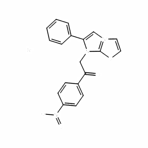 O=C(Cn1c(-c2ccccc2)c[n+]2ccsc12)c1ccc([N+](=O)[O-])cc1.[Br-]